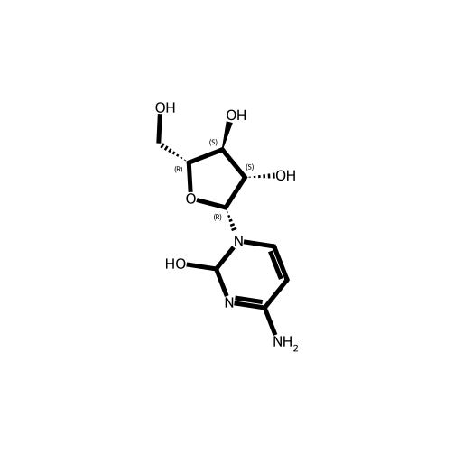 NC1=NC(O)N([C@@H]2O[C@H](CO)[C@@H](O)[C@@H]2O)C=C1